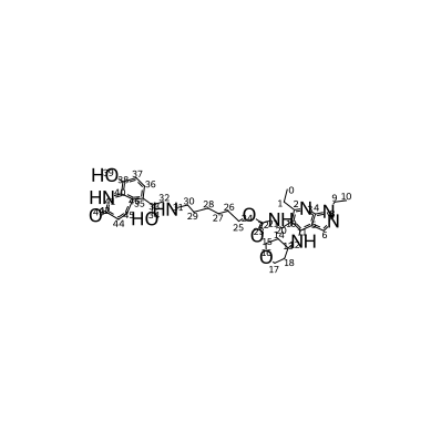 CCc1nc2c(cnn2CC)c(NC2CCOCC2)c1CNC(=O)OCCCCCCNCC(O)c1ccc(O)c2[nH]c(=O)ccc12